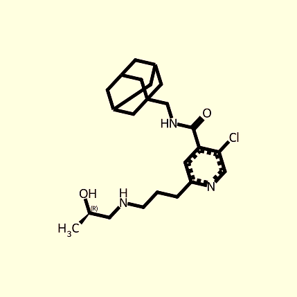 C[C@@H](O)CNCCCc1cc(C(=O)NCC23CC4CC(CC(C4)C2)C3)c(Cl)cn1